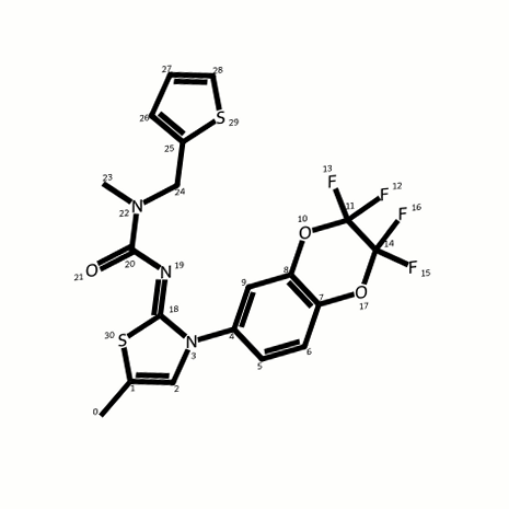 Cc1cn(-c2ccc3c(c2)OC(F)(F)C(F)(F)O3)/c(=N/C(=O)N(C)Cc2cccs2)s1